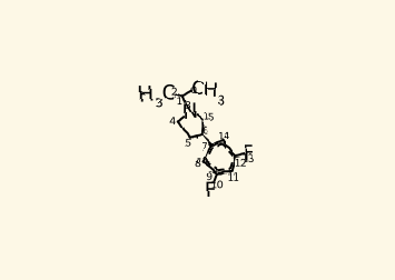 CC(C)N1C[CH][C@H](c2cc(F)cc(F)c2)C1